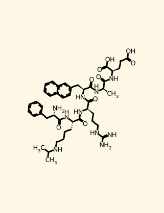 CC(C)NCCCC[C@H](NC(=O)[C@@H](N)Cc1ccccc1)C(=O)N[C@H](CCCNC(=N)N)C(=O)N[C@@H](Cc1ccc2ccccc2c1)C(=O)N[C@H](C)C(=O)N[C@H](CCC(=O)O)C(=O)O